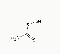 NC(=S)SS